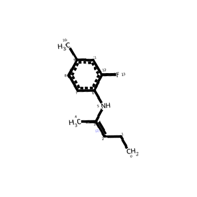 CC/C=C(/C)Nc1ccc(C)cc1F